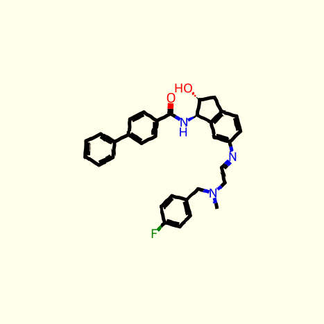 CN(CC=Nc1ccc2c(c1)[C@@H](NC(=O)c1ccc(-c3ccccc3)cc1)[C@H](O)C2)Cc1ccc(F)cc1